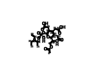 CC(=O)OCC(F)[C@H]1O[C@@H](OP(=O)(O)O)[C@@H](CC(=O)O)[C@@H](CC(=O)O)[C@@H]1CC(=O)O.CCN(CC)CC